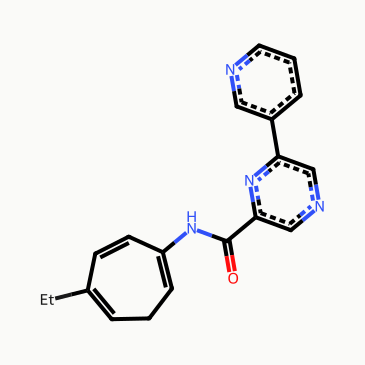 CCC1=CCC=C(NC(=O)c2cncc(-c3cccnc3)n2)C=C1